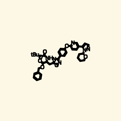 CC(C)(C)OC(=O)NC(Cc1nc(-c2ccc(Oc3ccc(-c4ccnn4C4CCCCO4)cn3)cc2)no1)C(=O)OCc1ccccc1